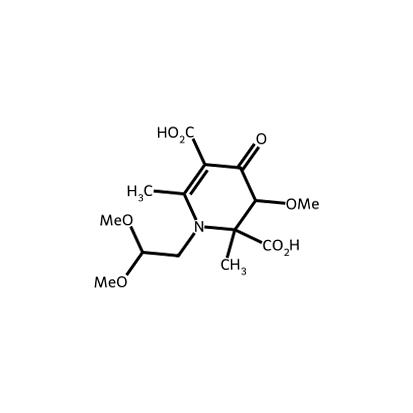 COC(CN1C(C)=C(C(=O)O)C(=O)C(OC)C1(C)C(=O)O)OC